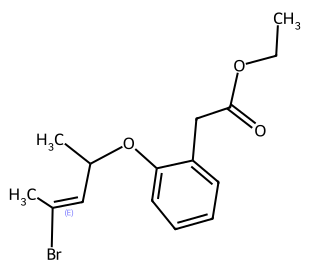 CCOC(=O)Cc1ccccc1OC(C)/C=C(\C)Br